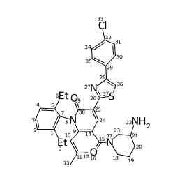 CCc1cccc(CC)c1-n1c(C=C(C)C)c(C(=O)N2CCCC(N)C2)cc(-c2nc(-c3ccc(Cl)cc3)cs2)c1=O